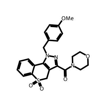 COc1ccc(Cn2nc(C(=O)N3CCOCC3)c3c2-c2ccccc2S(=O)(=O)C3)cc1